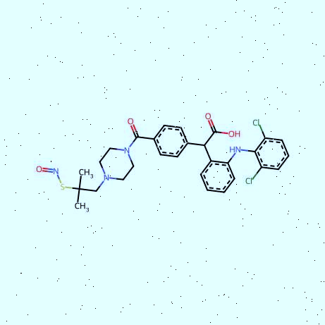 CC(C)(CN1CCN(C(=O)c2ccc(C(C(=O)O)c3ccccc3Nc3c(Cl)cccc3Cl)cc2)CC1)SN=O